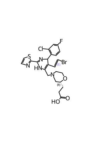 O=C(O)CC[C@@H]1CN(CC2=C(/C=C/Br)C(c3ccc(F)cc3Cl)N=C(c3nccs3)N2)CCO1